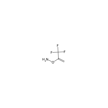 C=C(ON)C(F)(F)F